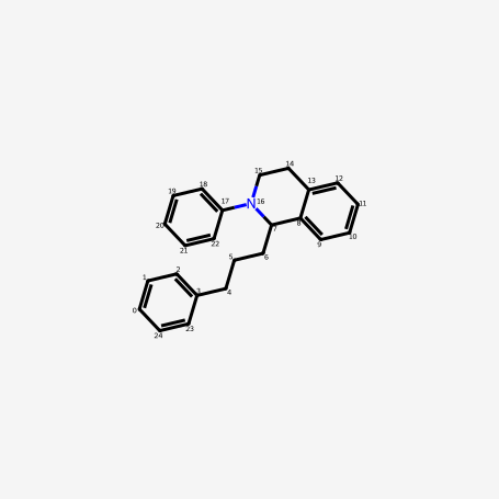 c1ccc(CCCC2c3ccccc3CCN2c2ccccc2)cc1